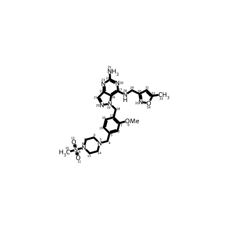 COc1cc(CN2CCN(S(C)(=O)=O)CC2)ccc1Cn1ncc2nc(N)nc(NCc3cc(C)on3)c21